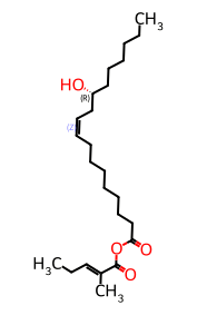 CCC=C(C)C(=O)OC(=O)CCCCCCC/C=C\C[C@H](O)CCCCCC